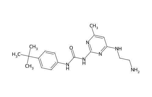 Cc1cc(NCCN)nc(NC(=O)Nc2ccc(C(C)(C)C)cc2)n1